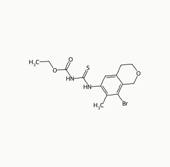 CCOC(=O)NC(=S)Nc1cc2c(c(Br)c1C)COCC2